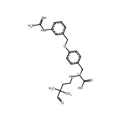 CC(C)(C=O)CCN[C@@H](Cc1ccc(OCc2cccc(NC(=N)N)c2)cc1)C(=O)O